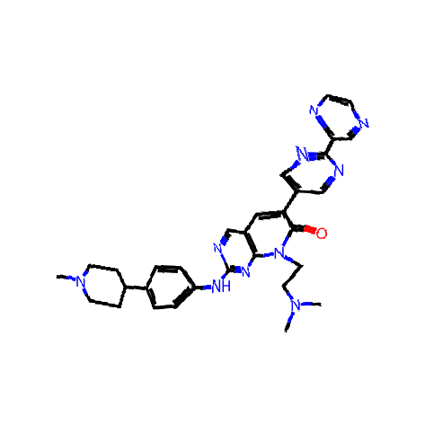 CN(C)CCn1c(=O)c(-c2cnc(-c3cnccn3)nc2)cc2cnc(Nc3ccc(C4CCN(C)CC4)cc3)nc21